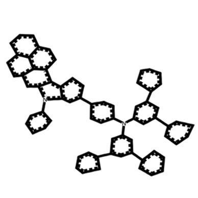 c1ccc(-c2cc(-c3ccccc3)cc(N(c3ccc(-c4ccc5c6c7ccc8cccc9ccc(cc6n(-c6ccccc6)c5c4)c7c98)cc3)c3cc(-c4ccccc4)cc(-c4ccccc4)c3)c2)cc1